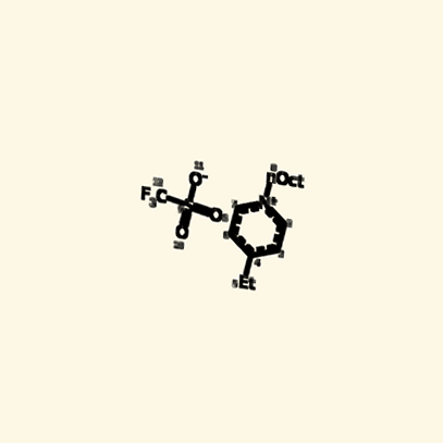 CCCCCCCC[n+]1ccc(CC)cc1.O=S(=O)([O-])C(F)(F)F